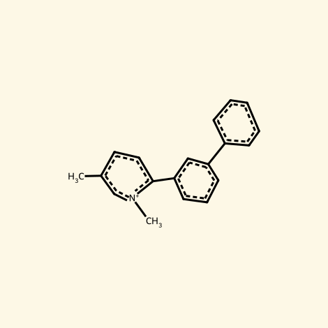 Cc1ccc(-c2cccc(-c3ccccc3)c2)[n+](C)c1